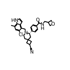 Cc1cc(Cl)c(CN2CCC3(CC(C#N)C3)C[C@H]2c2ccc(C(=O)NCC3COC3)cc2)c2cc[nH]c12